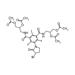 CC(=O)OCC(CNC(=O)c1c(I)c(C(=O)NCC(COC(C)=O)OC(C)=O)c(I)c(N2CCC(Br)C2=O)c1I)OC(C)=O